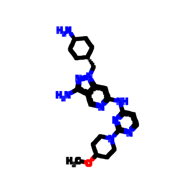 COC1CCN(c2nccc(Nc3cc4c(cn3)c(N)nn4C[C@H]3CC[C@H](N)CC3)n2)CC1